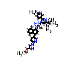 COCCCNc1ccc(-c2ccc(NC(=O)Nc3cc(C(C)(C)C)nn3-c3ccc(C)nc3)c3ccccc23)cn1